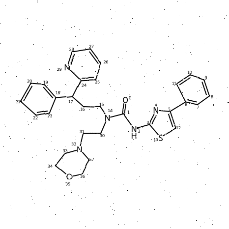 O=C(Nc1nc(-c2ccccc2)cs1)N(CCC(c1ccccc1)c1ccccn1)CCN1CCOCC1